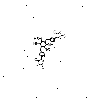 CN1C(=O)/C(=c2/cc/c(=C\C3=C(N=S)C(N)=C(/C=c4\cc/c(=C5\SC(=S)N(C)C5=O)s4)/C(=N/S)C3=N)s2)SC1=S